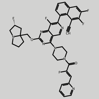 C#Cc1c(F)c(F)cc2cccc(-c3ncc4c(N5CCN(C(=O)/C(F)=C/c6ccccn6)CC5)nc(OCC56CCCN5C[C@H](F)C6)nc4c3F)c12